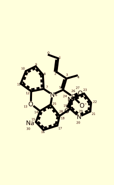 CC=CC(C)=C(N1c2ccccc2Oc2cccc(-c3ncccn3)c21)S(=O)(=O)[O-].[Na+]